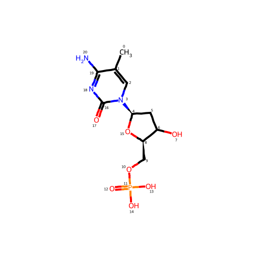 Cc1cn([C@H]2CC(O)[C@@H](COP(=O)(O)O)O2)c(=O)nc1N